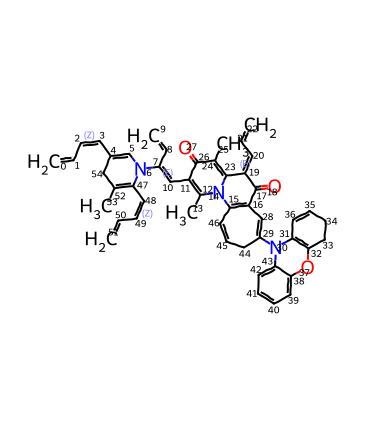 C=C/C=C\C1=CN(/C(C=C)=C/c2c(C)n3c4c(c(=O)/c(=C/C=C)c3c(C)c2=O)C=C(N2C3=C(CCC=C3)Oc3ccccc32)CC=C4)C(/C=C\C=C)=C(C)C1